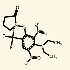 CCN(CC)c1c([N+](=O)[O-])cc(C(F)(F)F)c(SN2CCCC2=O)c1[N+](=O)[O-]